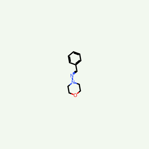 C(=NN1CCOCC1)c1ccccc1